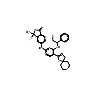 CC1(C)OC(=O)c2ccc(Nc3ncc(C4=NCC5(CCOCC5)O4)c(NC(CO)c4ccccc4)n3)cc21